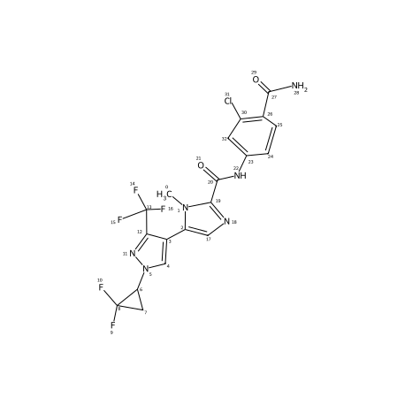 Cn1c(-c2cn(C3CC3(F)F)nc2C(F)(F)F)cnc1C(=O)Nc1ccc(C(N)=O)c(Cl)c1